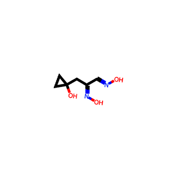 ON=CC(CC1(O)CC1)=NO